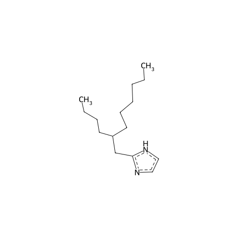 CCCCCCC(CCCC)Cc1ncc[nH]1